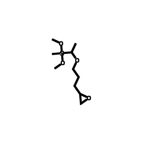 CO[Si](C)(OC)C(C)OCCCC1CO1